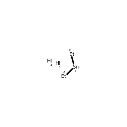 C[CH2][Sn][CH2]C.I.I